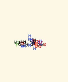 Cc1cc(CN2CCN(C3CC4(CCN(c5ccc(C(=O)NS(=O)(=O)c6cc7c(c([N+](=O)[O-])c6)N[C@H](C6CCOCC6)CO7)c(N6c7cc8cc[nH]c8nc7O[C@H]7COCC[C@@H]76)c5)CC4)C3)[C@H](c3ccccc3OC(C)C)C2)cc(F)c1Cl